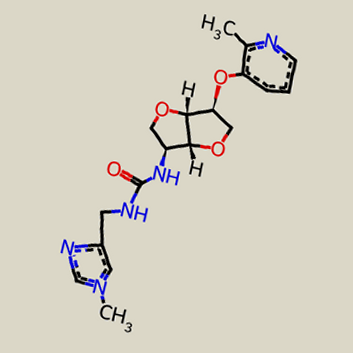 Cc1ncccc1O[C@H]1CO[C@H]2[C@@H]1OC[C@@H]2NC(=O)NCc1cn(C)cn1